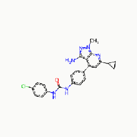 Cn1nc(N)c2c(-c3ccc(NC(=O)Nc4ccc(Cl)cc4)cc3)cc(C3CC3)nc21